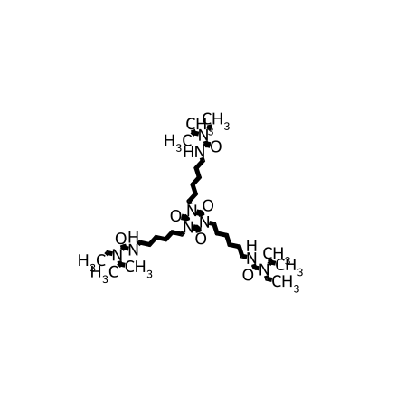 CCN(C(=O)NCCCCCCn1c(=O)n(CCCCCCNC(=O)N(CC)C(C)C)c(=O)n(CCCCCCNC(=O)N(CC)C(C)C)c1=O)C(C)C